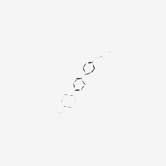 CCCC1CCC(c2ccc(-c3ccc(CCOC)cc3)cc2)CC1